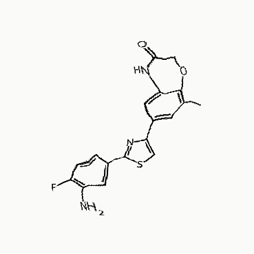 Cc1cc(-c2csc(-c3ccc(F)c(N)c3)n2)cc2c1OCC(=O)N2